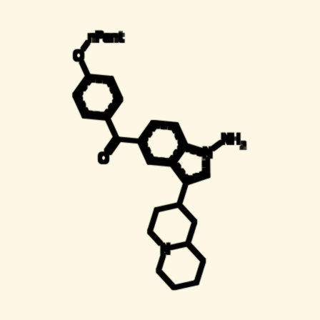 CCCCCOc1ccc(C(=O)c2ccc3c(c2)c(C2CCN4CCCCC4C2)cn3N)cc1